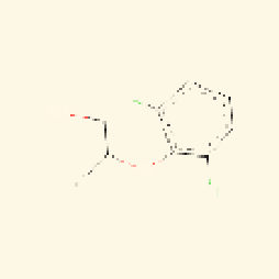 CCC(CO)Oc1c(Cl)cccc1Cl